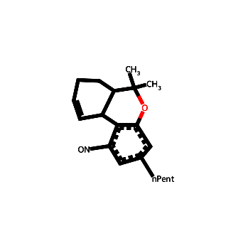 CCCCCc1cc(N=O)c2c(c1)OC(C)(C)C1CCC=CC21